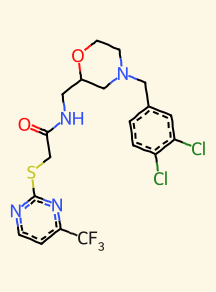 O=C(CSc1nccc(C(F)(F)F)n1)NCC1CN(Cc2ccc(Cl)c(Cl)c2)CCO1